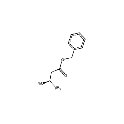 CC[C@H](N)CC(=O)OCc1ccccc1